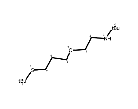 CC(C)(C)NCCOCCCSC(C)(C)C